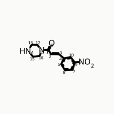 O=C(/C=C/c1cccc([N+](=O)[O-])c1)N1CCNCC1